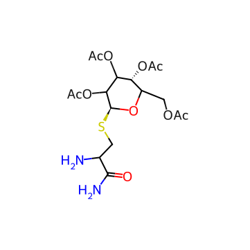 CC(=O)OCC1O[C@@H](SCC(N)C(N)=O)C(OC(C)=O)C(OC(C)=O)[C@@H]1OC(C)=O